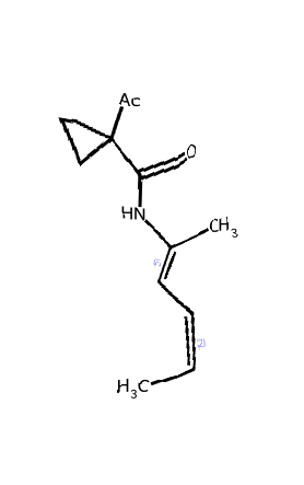 C/C=C\C=C(/C)NC(=O)C1(C(C)=O)CC1